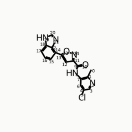 Cc1ncc(Cl)cc1NC(=O)c1cc(-c2cccc3[nH]cnc23)on1